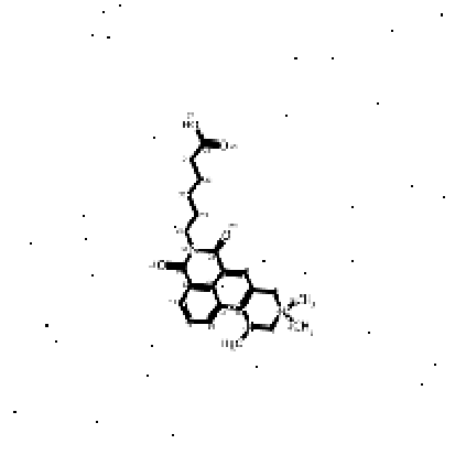 CN1C[N+](C)(C)Cc2cc3c4c(cccc4c21)C(=O)N(CCCCCC(=O)O)C3=O